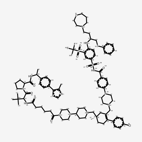 Cc1ncsc1-c1ccc(C(C)NC(=O)C2CCCN2C(=O)C(NC(=O)CCCCC(=O)N2CCN(C3CCN(C[C@]4(C)CCC(c5ccc(Cl)cc5)=C(CN5CCN(c6ccc(C(=O)NS(=O)(=O)c7ccc(NC(CCN8CCCOCC8)CSc8ccccc8)c(S(=O)(=O)C(F)(F)F)c7)cc6)CC5)C4)CC3)CC2)C(C)(C)C)cc1